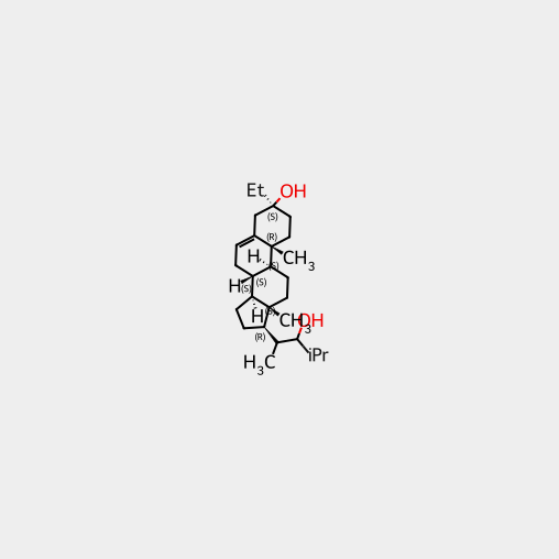 CC[C@]1(O)CC[C@@]2(C)C(=CC[C@H]3[C@@H]4CC[C@H](C(C)C(O)C(C)C)[C@@]4(C)CC[C@@H]32)C1